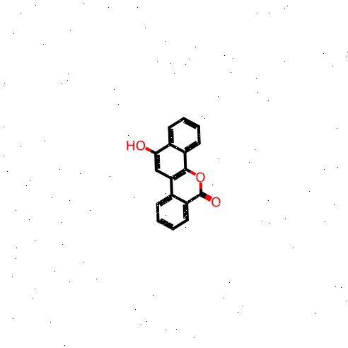 O=c1oc2c3ccccc3c(O)cc2c2ccccc12